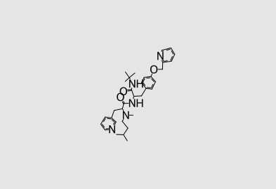 CC(C)CCN(C)C(Cc1cccnc1)C(=O)NC(Cc1ccc(OCc2ccccn2)cc1)C(=O)NC(C)(C)C